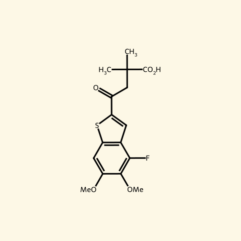 COc1cc2sc(C(=O)CC(C)(C)C(=O)O)cc2c(F)c1OC